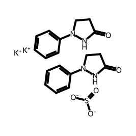 O=C1CCN(c2ccccc2)N1.O=C1CCN(c2ccccc2)N1.O=S([O-])[O-].[K+].[K+]